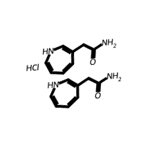 Cl.NC(=O)CC1=CNC=CC=C1.NC(=O)CC1=CNC=CC=C1